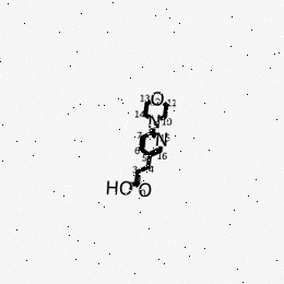 O=C(O)CCc1ccc(N2CCOCC2)nc1